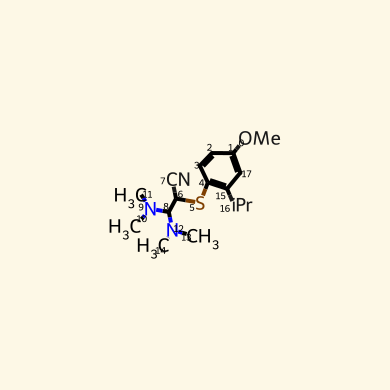 COc1ccc(SC(C#N)C(N(C)C)N(C)C)c(C(C)C)c1